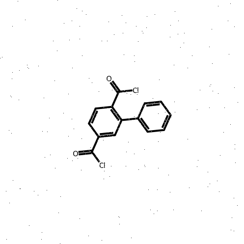 O=C(Cl)c1ccc(C(=O)Cl)c(-c2ccccc2)c1